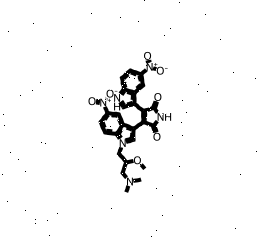 COC(CN(C)C)Cn1cc(C2=C(c3c[nH]c4ccc([N+](=O)[O-])cc34)C(=O)NC2=O)c2cc([N+](=O)[O-])ccc21